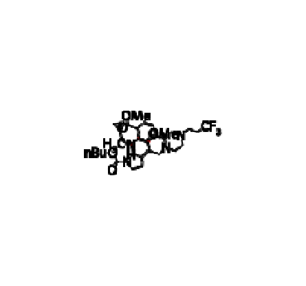 CCCCOC(=O)n1ccc2c(CN3CCN(CCC(F)(F)F)CC3c3ccc(C(=O)OC)c(NCC4CC4)c3)c(OC)cc(C)c21